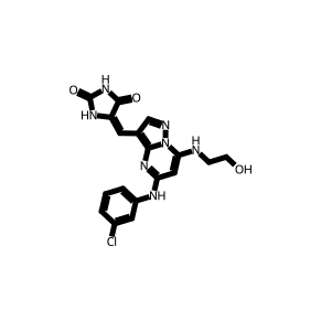 O=C1NC(=O)/C(=C\c2cnn3c(NCCO)cc(Nc4cccc(Cl)c4)nc23)N1